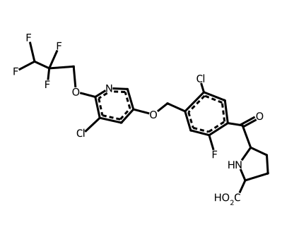 O=C(O)C1CCC(C(=O)c2cc(Cl)c(COc3cnc(OCC(F)(F)C(F)F)c(Cl)c3)cc2F)N1